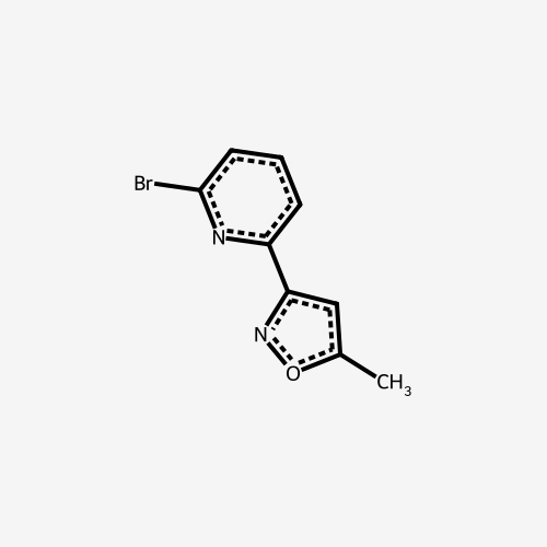 Cc1cc(-c2cccc(Br)n2)no1